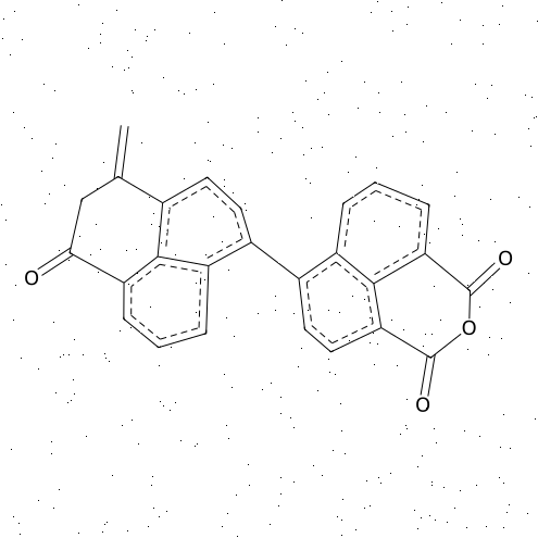 C=C1CC(=O)c2cccc3c(-c4ccc5c6c(cccc46)C(=O)OC5=O)ccc1c23